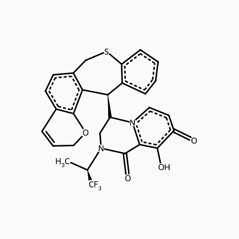 C[C@@H](N1CC([C@@H]2c3ccccc3SCc3ccc4c(c32)OCC=C4)n2ccc(=O)c(O)c2C1=O)C(F)(F)F